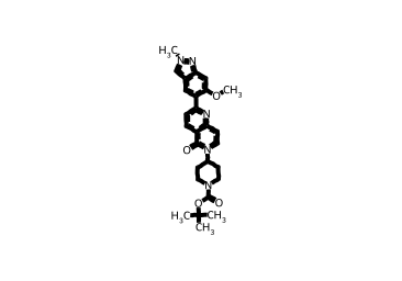 COc1cc2nn(C)cc2cc1-c1ccc2c(=O)n(C3CCN(C(=O)OC(C)(C)C)CC3)ccc2n1